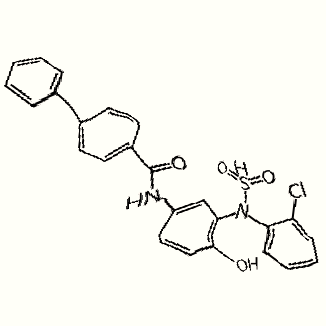 O=C(Nc1ccc(O)c(N(c2ccccc2Cl)[SH](=O)=O)c1)c1ccc(-c2ccccc2)cc1